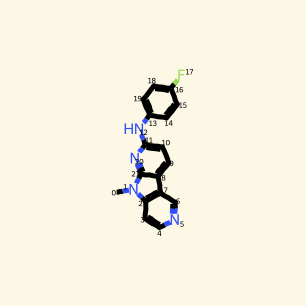 Cn1c2ccncc2c2ccc(Nc3ccc(F)cc3)nc21